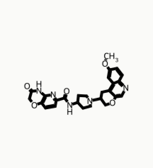 COc1ccc2ncc3c(c2c1)CC(N1CCC(NC(=O)c2ccc4c(n2)NC(=O)CO4)CC1)CO3